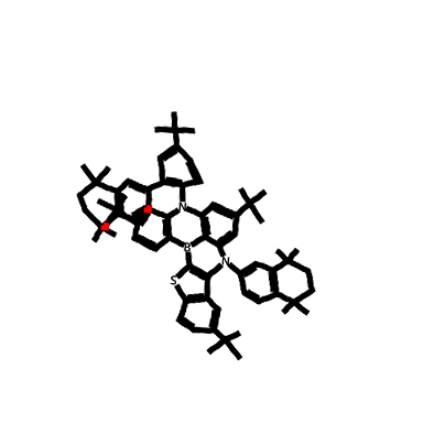 CC(C)(C)c1ccc(N2c3cc(C(C)(C)C)ccc3B3c4sc5ccc(C(C)(C)C)cc5c4N(c4ccc5c(c4)C(C)(C)CCC5(C)C)c4cc(C(C)(C)C)cc2c43)c(-c2ccc3c(c2)C(C)(C)CCC3(C)C)c1